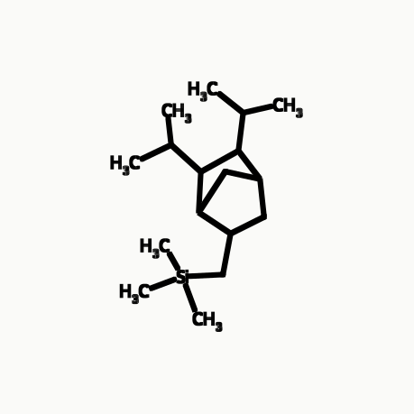 CC(C)C1C2CC(C[Si](C)(C)C)C(C2)C1C(C)C